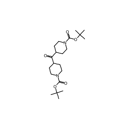 CC(C)(C)OC(=O)N1CCC(C(=O)C2CCN(C(=O)OC(C)(C)C)CC2)CC1